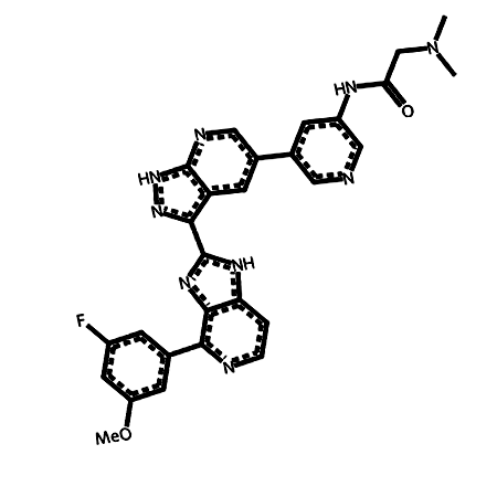 COc1cc(F)cc(-c2nccc3[nH]c(-c4n[nH]c5ncc(-c6cncc(NC(=O)CN(C)C)c6)cc45)nc23)c1